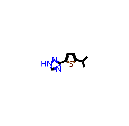 CC(C)c1ccc(-c2nc[nH]n2)s1